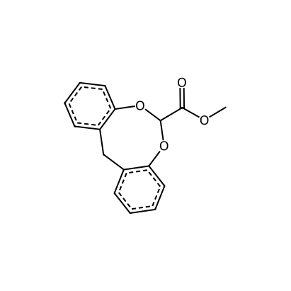 COC(=O)C1Oc2ccccc2Cc2ccccc2O1